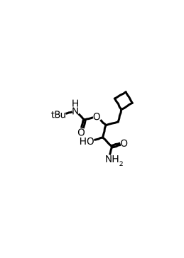 CC(C)(C)NC(=O)OC(CC1CCC1)C(O)C(N)=O